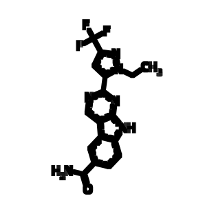 CCn1nc(C(F)(F)F)cc1-c1ncc2c(n1)[nH]c1ccc(C(N)=O)cc12